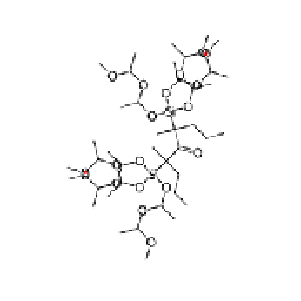 CCCC(C)(C(=O)C(C)(CCC)[Si](OC(C)OC(C)OC)(OC(C)OC(C)OC)OC(C)OC(C)OC)[Si](OC(C)OC(C)OC)(OC(C)OC(C)OC)OC(C)OC(C)OC